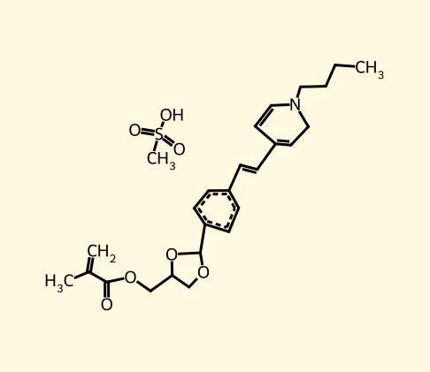 C=C(C)C(=O)OCC1COC(c2ccc(C=CC3=CCN(CCCC)C=C3)cc2)O1.CS(=O)(=O)O